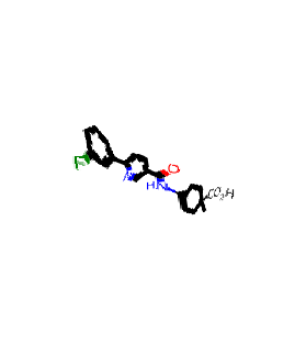 C[C@]1(C(=O)O)CC[C@@H](NC(=O)c2ccc(-c3cccc(F)c3)nc2)CC1